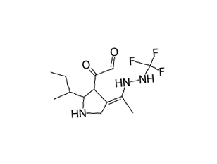 CCC(C)C1NCC(=C(C)NNC(F)(F)F)C1C(=O)C=O